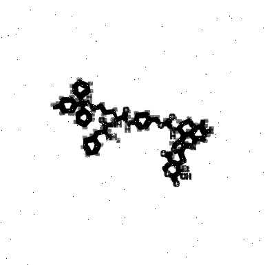 CC[C@@]1(O)C(=O)OCc2c1cc1n(c2=O)Cc2c-1nc1cc(F)c(C)c3c1c2[C@@H](NC(=O)OCc1ccc(NC(=O)[C@H](CCCCNC(c2ccccc2)(c2ccccc2)c2ccc(C)cc2)NC(=O)[C@@H](N)Cc2ccccc2)cc1)CC3